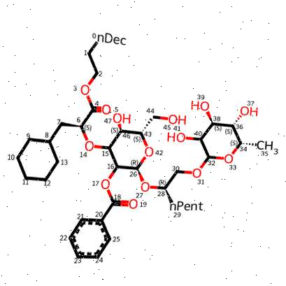 CCCCCCCCCCCCOC(=O)[C@H](CC1CCCCC1)OC1C(OC(=O)c2ccccc2)[C@H](O[C@H](CCCCC)COC2O[C@@H](C)[C@@H](O)[C@H](O)C2O)O[C@@H](CO)[C@@H]1O